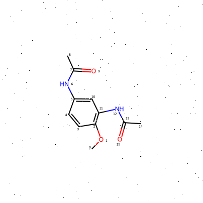 [CH2]Oc1ccc(NC(C)=O)cc1NC(C)=O